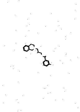 Nc1cccc(C(=O)NCC(O)CN2CCc3ccccc3C2)c1